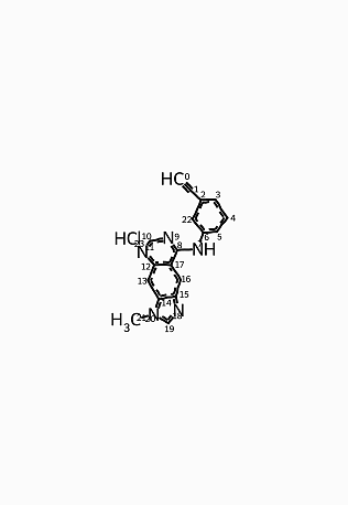 C#Cc1cccc(Nc2ncnc3cc4c(cc23)ncn4C)c1.Cl